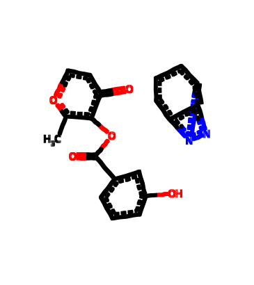 Cc1occc(=O)c1OC(=O)c1cccc(O)c1.c1cc2nn3nc2c3c1